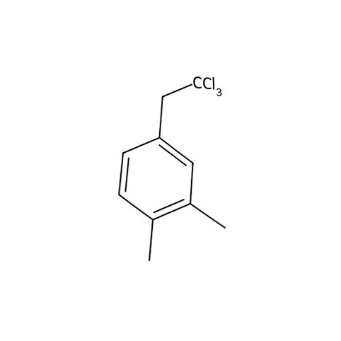 Cc1ccc(CC(Cl)(Cl)Cl)cc1C